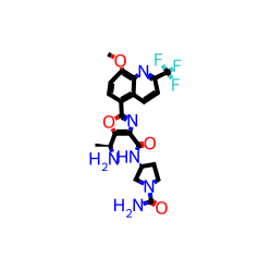 COc1ccc(-c2nc(C(=O)N[C@@H]3CCN(C(N)=O)C3)c([C@H](C)N)o2)c2ccc(C(F)(F)F)nc12